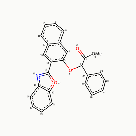 COC(=O)C(Oc1cc2ccccc2cc1-c1nc2ccccc2o1)c1ccccc1